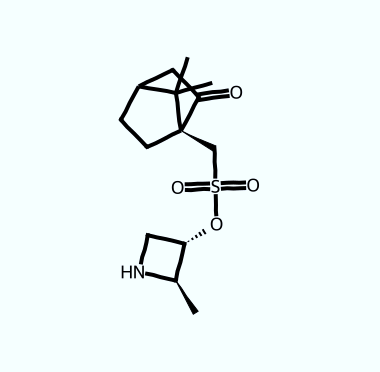 C[C@H]1NC[C@@H]1OS(=O)(=O)C[C@]12CCC(CC1=O)C2(C)C